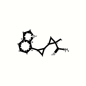 CC1(C(N)=O)CC1C1CC1c1cccc2ccoc12